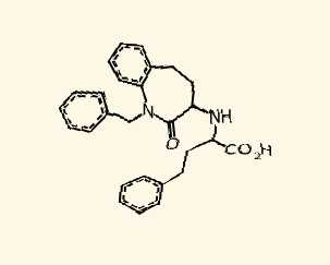 O=C(O)C(CCc1ccccc1)NC1CCc2ccccc2N(Cc2ccccc2)C1=O